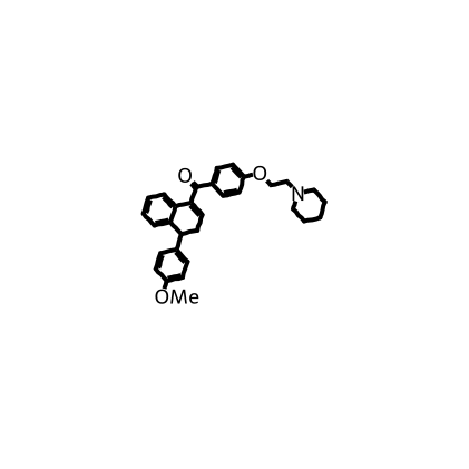 COc1ccc(C2CC=C(C(=O)c3ccc(OCCN4CCCCC4)cc3)c3ccccc32)cc1